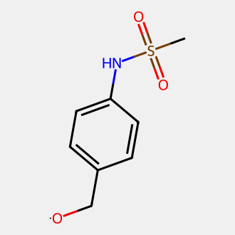 CS(=O)(=O)Nc1ccc(C[O])cc1